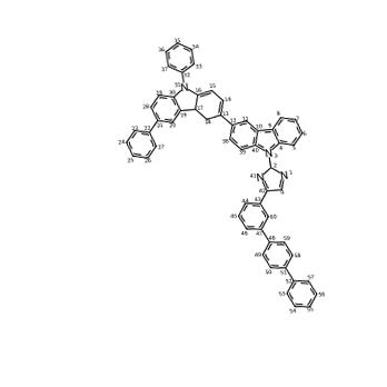 C1=NC(n2c3ccccc3c3cc(C4=CC=C5C(C4)c4cc(-c6ccccc6)ccc4N5c4ccccc4)ccc32)N=C1c1cccc(-c2ccc(-c3ccccc3)cc2)c1